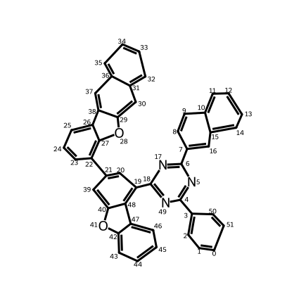 c1ccc(-c2nc(-c3ccc4ccccc4c3)nc(-c3cc(-c4cccc5c4oc4cc6ccccc6cc45)cc4oc5ccccc5c34)n2)cc1